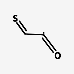 O=[C]C=S